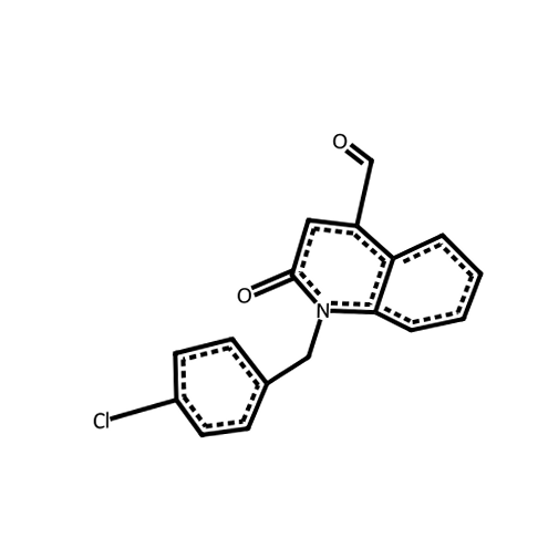 O=Cc1cc(=O)n(Cc2ccc(Cl)cc2)c2ccccc12